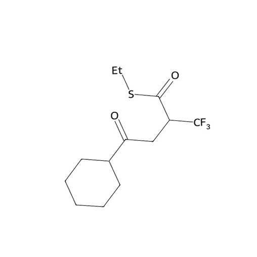 CCSC(=O)C(CC(=O)C1CCCCC1)C(F)(F)F